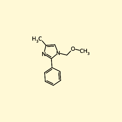 COCn1cc(C)nc1-c1ccccc1